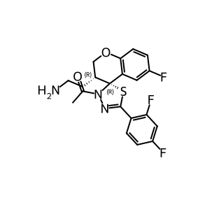 CC(=O)N1N=C(c2ccc(F)cc2F)S[C@]12c1cc(F)ccc1OC[C@H]2CCN